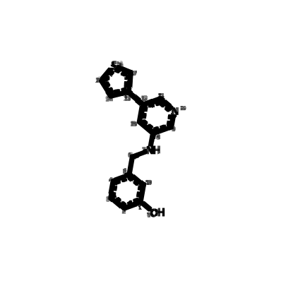 Oc1cccc(CNc2cncc(-c3ccsc3)c2)c1